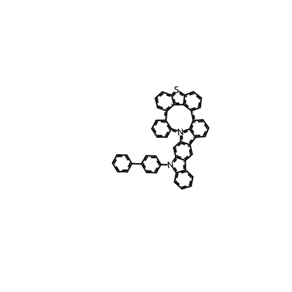 c1ccc(-c2ccc(-n3c4ccccc4c4cc5c6cccc7c8cccc9sc%10cccc(c%11ccccc%11n(c5cc43)c76)c%10c98)cc2)cc1